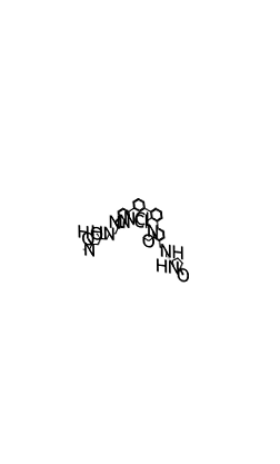 COc1nc(-c2cccc(-c3cccc(-c4ccc5nc(CNC[C@H](O)CC(=O)N(C)C)cn5n4)c3Cl)c2Cl)ccc1CNC[C@@H]1CCC(=O)N1